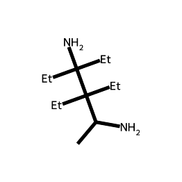 CCC(N)(CC)C(CC)(CC)C(C)N